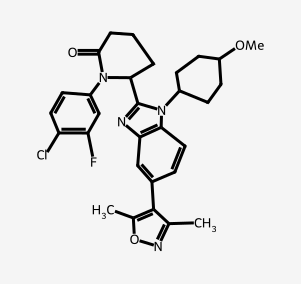 COC1CCC(n2c(C3CCCC(=O)N3c3ccc(Cl)c(F)c3)nc3cc(-c4c(C)noc4C)ccc32)CC1